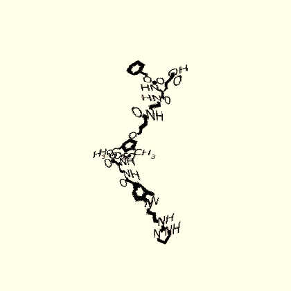 COC(=O)[C@H](CNC(=O)c1ccc2c(cnn2CCCNC2=NCCCN2)c1)NS(=O)(=O)c1c(C)cc(OCCCC(=O)NCCNC(=O)[C@H](CCC(=O)O)NC(=O)OCc2ccccc2)cc1C